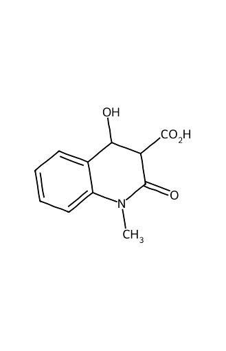 CN1C(=O)C(C(=O)O)C(O)c2ccccc21